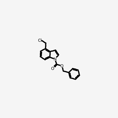 O=C(OCc1ccccc1)n1ccc2c(CCl)cccc21